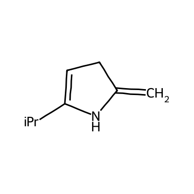 C=C1CC=C(C(C)C)N1